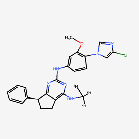 [2H]C([2H])([2H])Nc1nc(Nc2ccc(-n3cnc(Cl)c3)c(OC)c2)nc2c1CC[C@H]2c1ccccc1